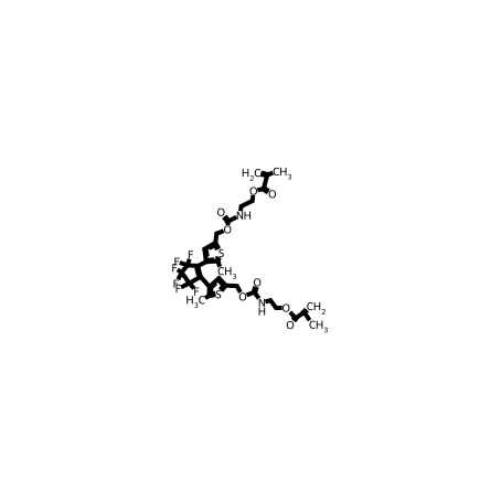 C=C(C)C(=O)OCCNC(=O)OCc1cc(C2=C(c3cc(COC(=O)NCCOC(=O)C(=C)C)sc3C)C(F)(F)C(F)(F)C2(F)F)c(C)s1